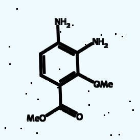 COC(=O)c1ccc(N)c(N)c1OC